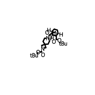 CC(C)(C)OC(=O)N1CC2(CCN(C(=O)[C@@H]3[C@@H]4CC[C@@H](CC4=O)N3C(=O)OC(C)(C)C)CC2)C1